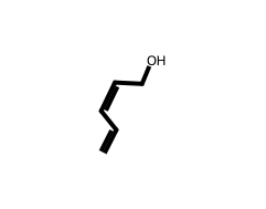 C=C/C=C\CO